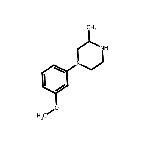 COc1cccc(N2CCNC(C)C2)c1